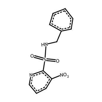 O=[N+]([O-])c1cccnc1S(=O)(=O)NCc1ccccc1